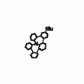 CC(C)(C)c1ccc2c(c1)-c1ccccc1N1c3ccccc3-c3ccccc3-c3cccc-2c31